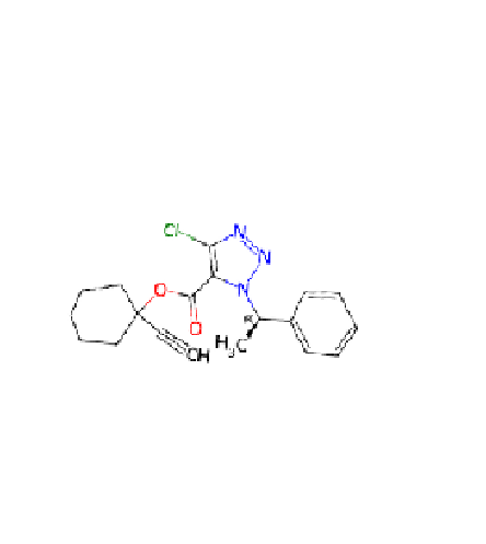 C#CC1(OC(=O)c2c(Cl)nnn2[C@H](C)c2ccccc2)CCCCC1